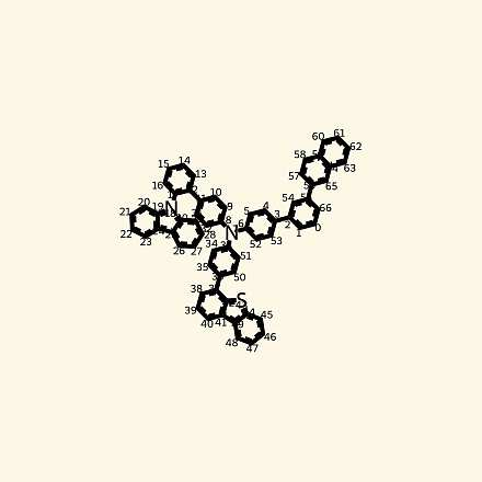 c1cc(-c2ccc(N(c3ccc(-c4ccccc4-n4c5ccccc5c5ccccc54)cc3)c3ccc(-c4cccc5c4sc4ccccc45)cc3)cc2)cc(-c2ccc3ccccc3c2)c1